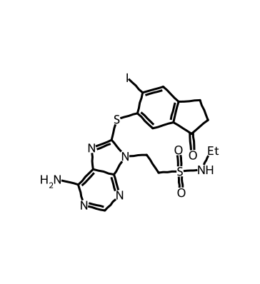 CCNS(=O)(=O)CCn1c(Sc2cc3c(cc2I)CCC3=O)nc2c(N)ncnc21